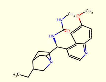 CCC1CN2CCC1CC2[C@@H](NC(=O)NC)c1ccnc2ccc(OC)cc12